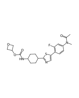 CC(=O)N(C)c1ccc(-c2cnc(C3CCC(NC(=O)OC4COC4)CC3)s2)c(F)c1